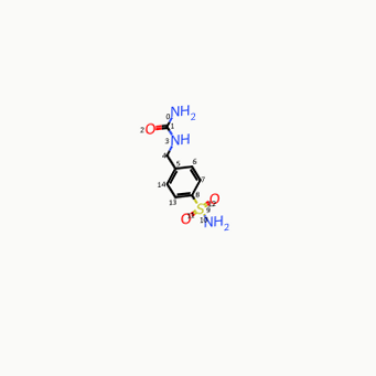 NC(=O)NCc1ccc(S(N)(=O)=O)cc1